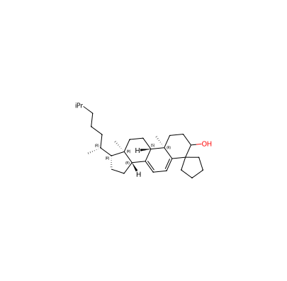 CC(C)CCC[C@@H](C)[C@H]1CC[C@H]2C3=CC=C4C5(CCCC5)C(O)CC[C@]4(C)[C@H]3CC[C@]12C